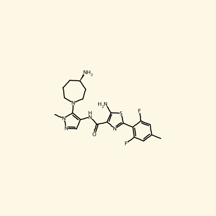 Cc1cc(F)c(-c2nc(C(=O)Nc3cnn(C)c3N3CCC[C@@H](N)CC3)c(N)s2)c(F)c1